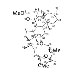 CC[C@H]1[C@@H](OCOC)C2C3CC[C@H]([C@H](C)CC=C(OC)O[Si](C)(C)C)[C@@]3(C)[C@@H](OCOC)CC2[C@@]2(C)CC[C@@H](C)C[C@@H]12